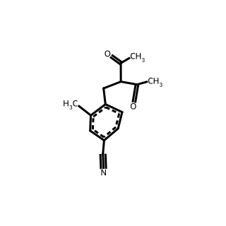 CC(=O)C(Cc1ccc(C#N)cc1C)C(C)=O